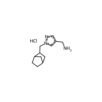 Cl.NCc1cnn(CC2CC3CCC2C3)c1